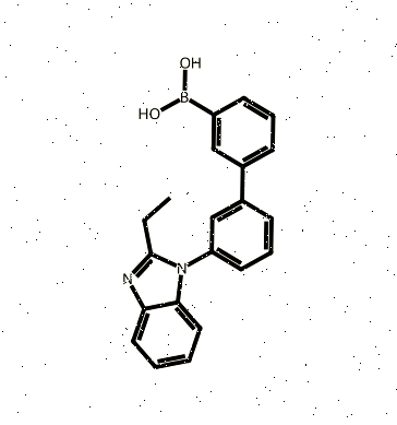 CCc1nc2ccccc2n1-c1cccc(-c2cccc(B(O)O)c2)c1